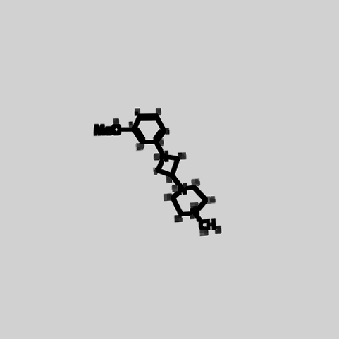 COc1cccc(N2CC(N3CCN(C)CC3)C2)c1